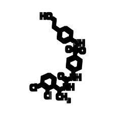 CC(NC(=O)Nc1ccc(S(=O)(=O)Nc2ccc(CCO)cc2)cc1)c1cccc(Cl)c1Cl